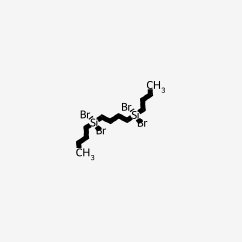 CCCC[Si](Br)(Br)CCCC[Si](Br)(Br)CCCC